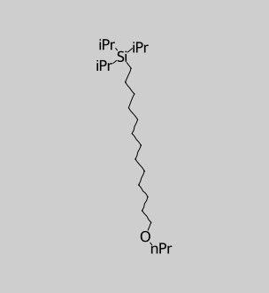 CCCOCCCCCCCCCCCCC[Si](C(C)C)(C(C)C)C(C)C